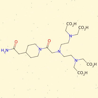 NC(=O)CC1CCN(C(=O)CN(CCN(CC(=O)O)CC(=O)O)CCN(CC(=O)O)CC(=O)O)CC1